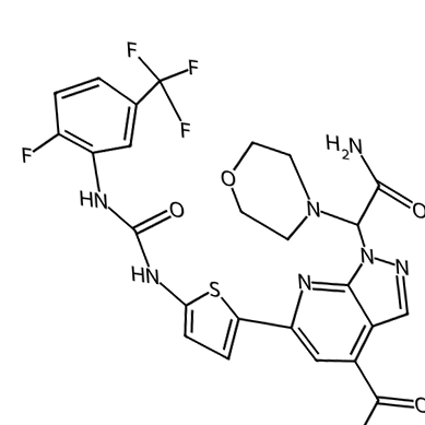 NC(=O)C(N1CCOCC1)n1ncc2c(C(=O)O)cc(-c3ccc(NC(=O)Nc4cc(C(F)(F)F)ccc4F)s3)nc21